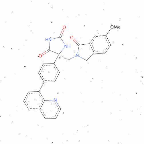 COc1ccc2c(c1)C(=O)N(C[C@@]1(c3ccc(-c4cccc5cccnc45)cc3)NC(=O)NC1=O)C2